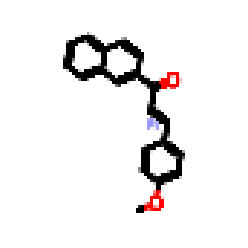 COc1ccc(/C=C/C(=O)c2ccc3ccccc3c2)cc1